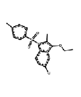 [CH2]COc1c(C)n(S(=O)(=O)c2ccc(C)cc2)c2ccc(Cl)cc12